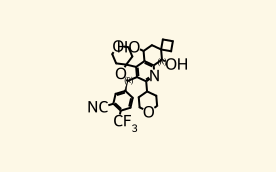 N#Cc1cc([C@H]2OC3(CCOCC3)c3c4c(nc(C5CCOCC5)c32)[C@H](O)C2(CCC2)CC4O)ccc1C(F)(F)F